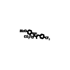 COc1ccc(NC(=O)C(C)=Cc2ccc(C(F)(F)F)cc2)c(C(=O)O)c1